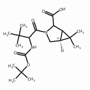 CC(C)(C)OC(=O)NC(C(=O)N1C[C@H]2C(C1C(=O)O)C2(C)C)C(C)(C)C